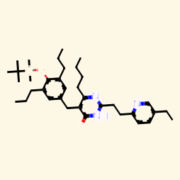 CCCCc1nc(CCc2ccc(CC)cn2)[nH]c(=O)c1Cc1cc(CCC)c(O[Si](C)(C)C(C)(C)C)c(CCC)c1